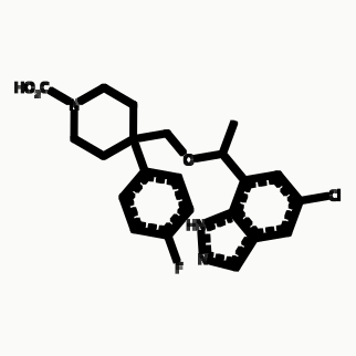 CC(OCC1(c2ccc(F)cc2)CCN(C(=O)O)CC1)c1cc(Cl)cc2cn[nH]c12